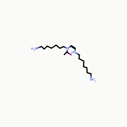 CC(I)N(/C=C\NCCCCCCCN)CCCCCCCN